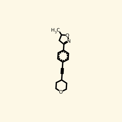 CC1CC(c2ccc(C#CC3CCOCC3)cc2)=NO1